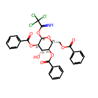 N=C(O[C@H]1O[C@H](COC(=O)c2ccccc2)[C@@H](OC(=O)c2ccccc2)[C@H](O)[C@H]1OC(=O)c1ccccc1)C(Cl)(Cl)Cl